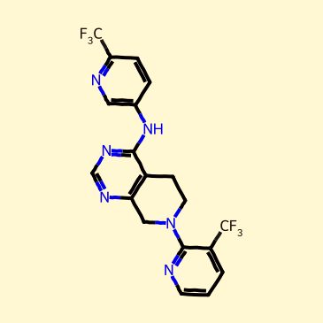 FC(F)(F)c1ccc(Nc2ncnc3c2CCN(c2ncccc2C(F)(F)F)C3)cn1